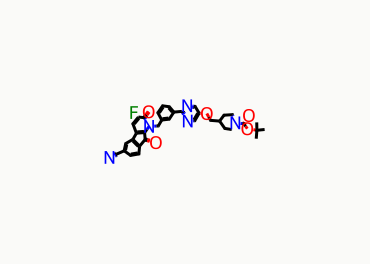 CC(C)(C)OC(=O)N1CCC(COc2cnc(-c3cccc(Cn4c5c(cc(F)c4=O)-c4cc(C#N)ccc4C5=O)c3)nc2)CC1